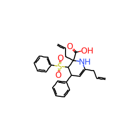 C=CCC1=CC(c2ccccc2)C(S(=O)(=O)c2ccccc2)C(CC=C)(C(=O)O)N1